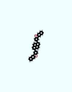 c1ccc2cc3c(cc2c1)oc1ccc(-c2ccc4ccc5c(-c6ccc7oc8cc9ccccc9cc8c7c6)ccc6ccc2c4c65)cc13